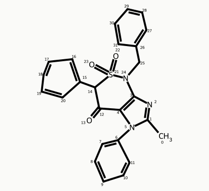 Cc1nc2c(n1-c1ccccc1)C(=O)C(c1ccccc1)S(=O)(=O)N2Cc1ccccc1